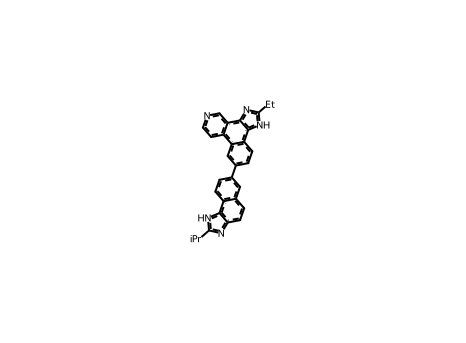 CCc1nc2c3cnccc3c3cc(-c4ccc5c(ccc6nc(C(C)C)[nH]c65)c4)ccc3c2[nH]1